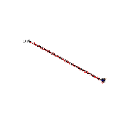 COCCOCCOCCOCCOCCOCCOCCOCCOCCOCCOCCOCCOCCOCCOCCOCCOCCOCCOCCOCCOCCOCCOCCOCCOCCOCCOCCOCCOCCOCCN1C(=O)C(C)(C)N(Br)C1(C)C